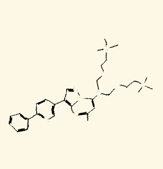 C[Si](C)(C)CCOCN(COCC[Si](C)(C)C)c1cc(Cl)nc2c(-c3ccc(-c4ccccc4)nc3)cnn12